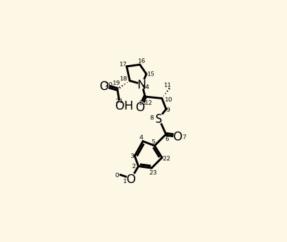 COc1ccc(C(=O)SC[C@@H](C)C(=O)N2CCC[C@H]2C(=O)O)cc1